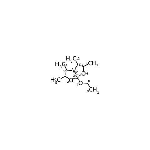 CCO[Si](OCC)(OCC)[V]([CH2]C)[CH2]C